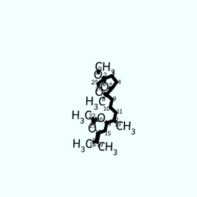 COC12CCC(O1)C(C)(CCCC(C)C(CC=C(C)C)OC(C)=O)OC2